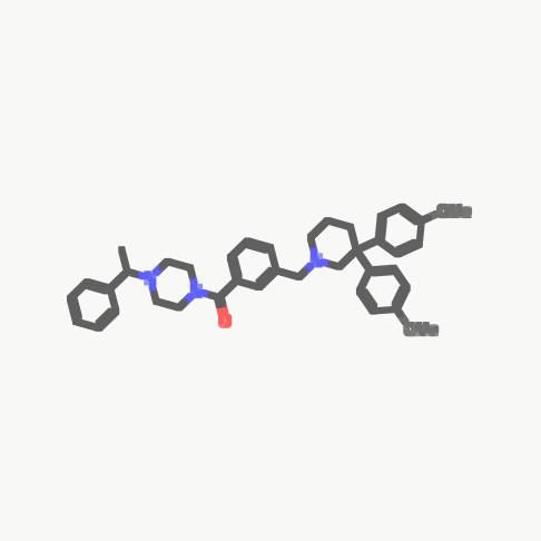 COc1ccc(C2(c3ccc(OC)cc3)CCCN(Cc3cccc(C(=O)N4CCN(C(C)c5ccccc5)CC4)c3)C2)cc1